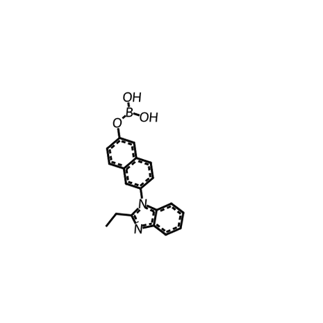 CCc1nc2ccccc2n1-c1ccc2cc(OB(O)O)ccc2c1